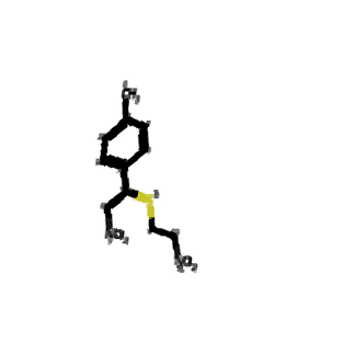 Cc1ccc(C(C[N+](=O)[O-])SCC[N+](=O)[O-])cc1